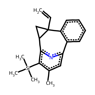 C=CC12CC1c1nc(cc(C)c1[Si](C)(C)C)-c1ccccc12